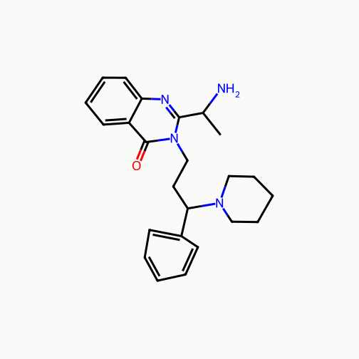 CC(N)c1nc2ccccc2c(=O)n1CCC(c1ccccc1)N1CCCCC1